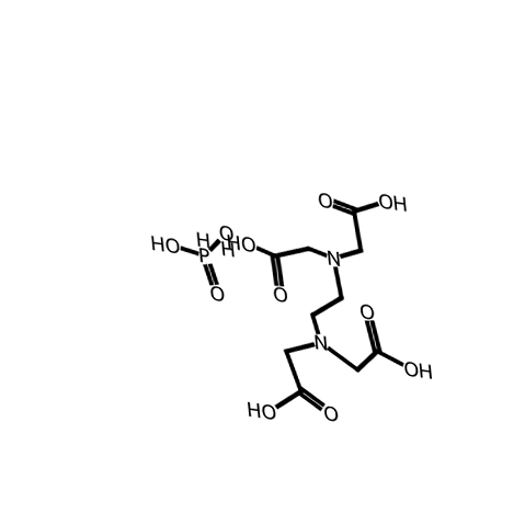 O=C(O)CN(CCN(CC(=O)O)CC(=O)O)CC(=O)O.O=[PH](O)O